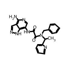 CC(c1ccccn1)N(Cc1ccccc1)C(=O)C(=O)Nc1cnc(N)c2cn[nH]c12